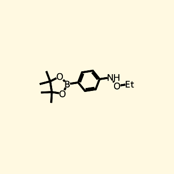 CCONc1ccc(B2OC(C)(C)C(C)(C)O2)cc1